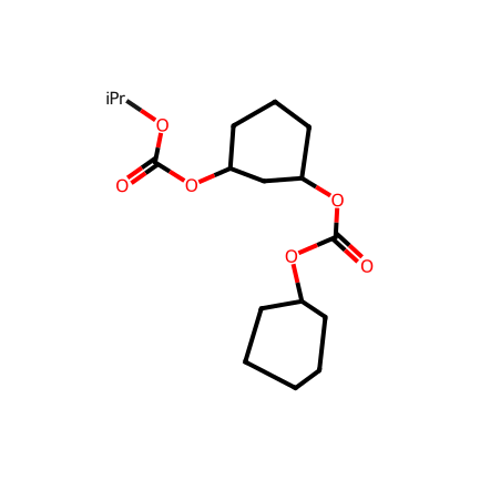 CC(C)OC(=O)OC1CCCC(OC(=O)OC2CCCCC2)C1